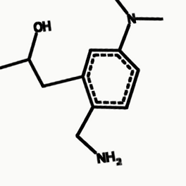 CC(O)Cc1cc(N(C)C)ccc1CN